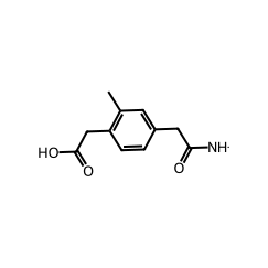 Cc1cc(CC([NH])=O)ccc1CC(=O)O